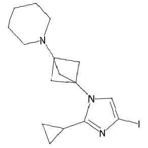 Ic1cn(C23CC(N4CCCCC4)(C2)C3)c(C2CC2)n1